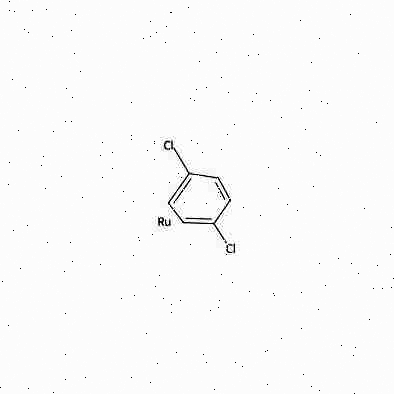 Clc1ccc(Cl)cc1.[Ru]